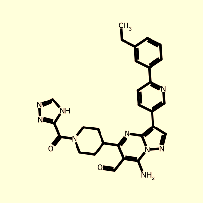 CCc1cccc(-c2ccc(-c3cnn4c(N)c(C=O)c(C5CCN(C(=O)c6nnc[nH]6)CC5)nc34)cn2)c1